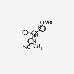 COc1cccc(C2=NN(c3ccc(C#N)c(C)n3)[C@@H](C3CCCC3)C2)n1